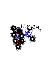 C=C/C=C(\C=C)c1nc(-c2ccccc2)nc(-c2cc(C(/C=C\C)=C/C)c(-n3c4c(-c5ccccc5)c(-c5ccccc5)ccc4c4ccc(-c5ccccc5)c(-c5ccccc5)c43)c(-c3ccccc3)c2)n1